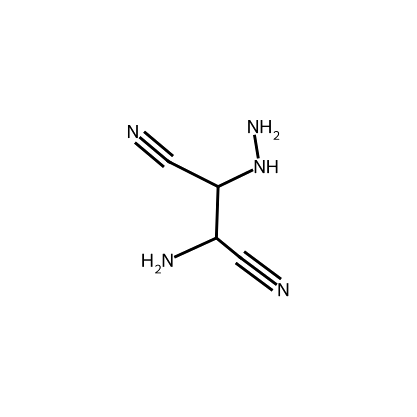 N#CC(N)C(C#N)NN